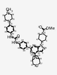 COC(=O)N1CCC(n2ncc3c(N4C5CCC4COC5)nc(-c4ccc(NC(=O)Nc5ccc(N6CCN(C)CC6)cc5)cc4)nc32)CC1